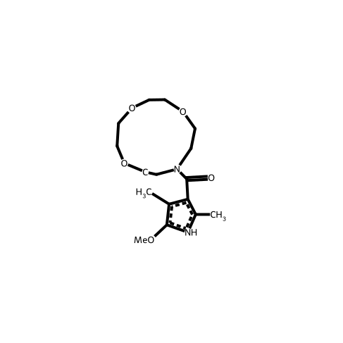 COc1[nH]c(C)c(C(=O)N2CCOCCOCCOCC2)c1C